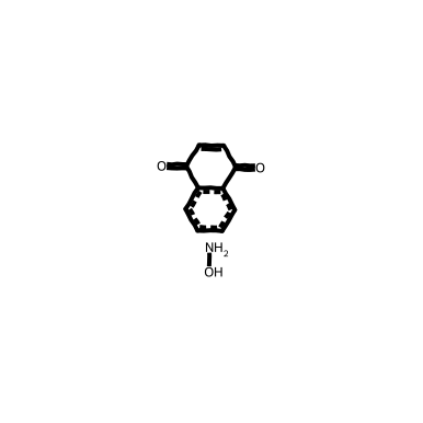 NO.O=C1C=CC(=O)c2ccccc21